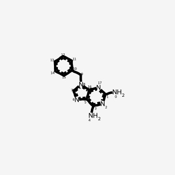 Nc1nc(N)c2ncn(Cc3ccccc3)c2n1